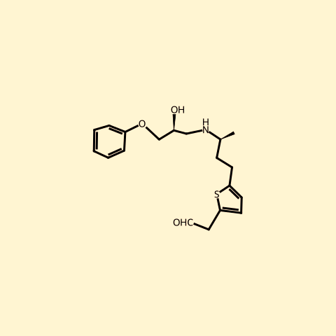 C[C@@H](CCc1ccc(CC=O)s1)NC[C@H](O)COc1ccccc1